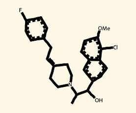 COc1ccc2cc(C(O)C(C)N3CCC(=CCc4ccc(F)cc4)CC3)ccc2c1Cl